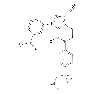 CN(C)CC1(c2ccc(N3CCc4c(C#N)nn(-c5cccc(C(N)=O)c5)c4C3=O)cc2)CC1